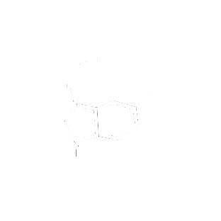 CCn1c[n+](CC)c2ccc(Cl)cc21.O=C[O-]